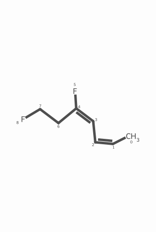 C/C=C\C=C(\F)CCF